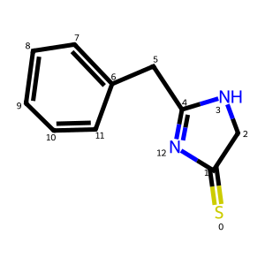 S=C1CNC(Cc2ccccc2)=N1